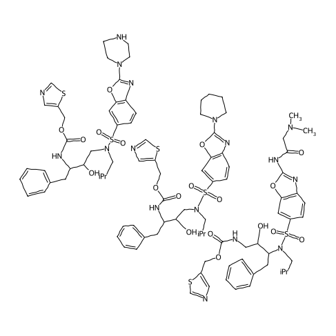 CC(C)CN(C(Cc1ccccc1)C(O)CNC(=O)OCc1cncs1)S(=O)(=O)c1ccc2nc(NC(=O)CN(C)C)oc2c1.CC(C)CN(CC(O)C(Cc1ccccc1)NC(=O)OCc1cncs1)S(=O)(=O)c1ccc2nc(N3CCCCC3)oc2c1.CC(C)CN(CC(O)C(Cc1ccccc1)NC(=O)OCc1cncs1)S(=O)(=O)c1ccc2nc(N3CCNCC3)oc2c1